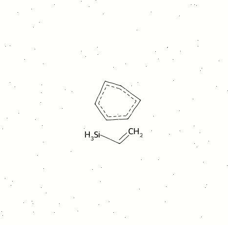 C=C[SiH3].c1ccccc1